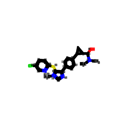 CN(C)[C@H](O)C1CC1c1ccc(-c2ncn(C)c2Sc2ccc(Cl)cn2)cc1